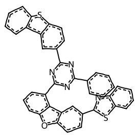 c1ccc(-c2nc(-c3ccc4sc5ccccc5c4c3)nc(-c3cccc4oc5ccc(-c6nc7ccccc7s6)cc5c34)n2)cc1